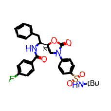 CC(C)(C)NS(=O)(=O)c1ccc(N2C[C@@H](C(Cc3ccccc3)NC(=O)c3ccc(F)cc3)OC2=O)cc1